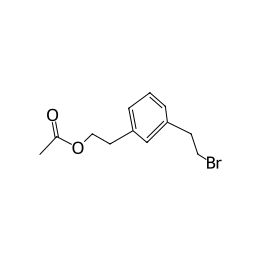 CC(=O)OCCc1cccc(CCBr)c1